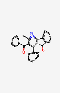 Cc1nc2c(c(-c3ccccc3)c1C(=O)c1ccccc1)C(=O)c1ccccc1-2